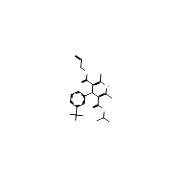 C=CCOC(=O)C1=C(C)NC(C)=C(C(=O)OC(C)C)C1c1cccc(C(F)(F)F)c1